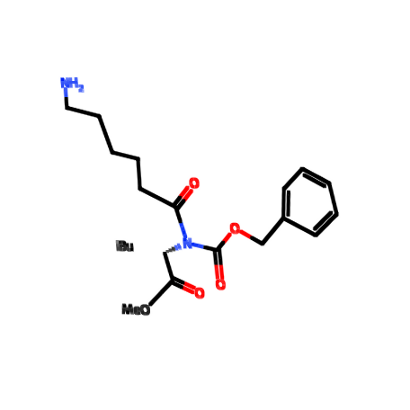 CC[C@H](C)[C@@H](C(=O)OC)N(C(=O)CCCCCN)C(=O)OCc1ccccc1